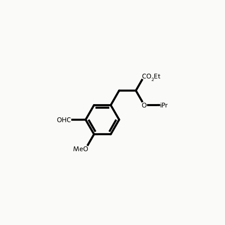 CCOC(=O)C(Cc1ccc(OC)c(C=O)c1)OC(C)C